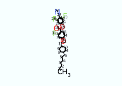 CCCCCCC[C@H]1CC[C@H](COc2ccc(C(=O)Oc3cc(F)c(C#N)c(F)c3)c(F)c2)CC1